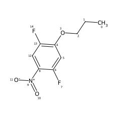 CCCOc1cc(F)c([N+](=O)[O-])cc1F